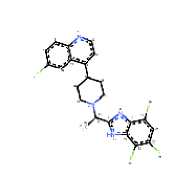 Fc1ccc2nccc(C3CCN([C@@H](c4nc5c(F)cc(F)c(F)c5[nH]4)C(F)(F)F)CC3)c2c1